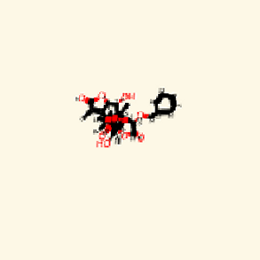 CC1=C2C(OC1=O)[C@H](O)C13C4OC(=O)[C@]21O[C@@H]1OC(=O)[C@H](OCc2ccccc2)C13[C@H](C(C)(C)C)[C@H]4O